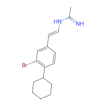 CC(=N)N/C=C/c1ccc(C2CCCCC2)c(Br)c1